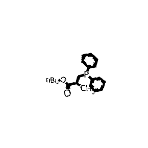 CCCCOC(=O)C(C)CP(c1ccccc1)c1ccccc1